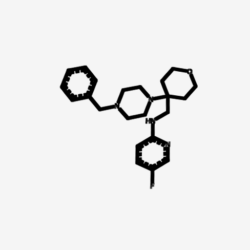 Fc1ccc(NCC2(N3CCN(Cc4ccccc4)CC3)CCOCC2)nc1